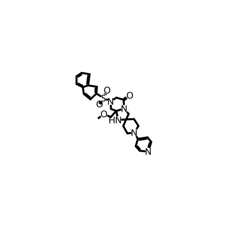 COCC12CN(S(=O)(=O)c3ccc4ccccc4c3)CC(=O)N1CC1(CCN(c3ccncc3)CC1)N2